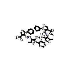 COC(=O)c1cnn(-c2ccccc2)c1/N=N/c1c(C)nn(-c2cc(-n3nc(C)c(/N=N/c4c(C(=O)OC)cnn4-c4ccccc4)c3N)ncn2)c1N